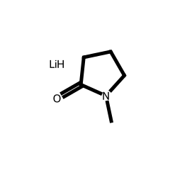 CN1CCCC1=O.[LiH]